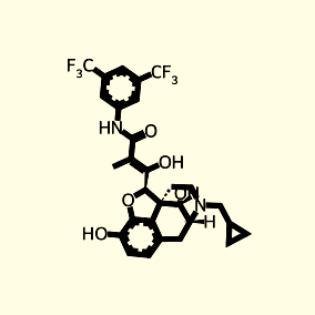 C/C(C(=O)Nc1cc(C(F)(F)F)cc(C(F)(F)F)c1)=C(/O)[C@@H]1Oc2c(O)ccc3c2[C@@]12CCN(CC1CC1)[C@H](C3)[C@@]2(C)O